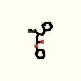 COC(CC(=O)Oc1ccccc1)Cc1ccccc1